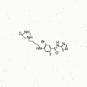 NC1(CNCCCCNc2cc(F)c([S+]([O-])Nc3ncns3)cc2Br)CC1